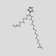 CCCCCCCCCCCCCCC(CCCCCCC)n1ccnc1